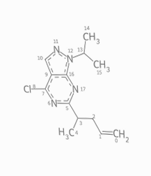 C=CCC(C)c1nc(Cl)c2cnn(C(C)C)c2n1